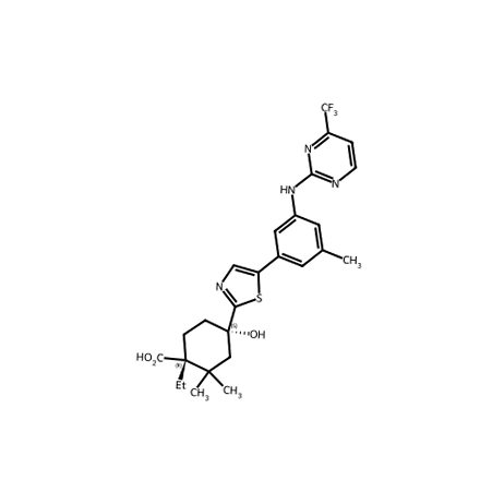 CC[C@@]1(C(=O)O)CC[C@@](O)(c2ncc(-c3cc(C)cc(Nc4nccc(C(F)(F)F)n4)c3)s2)CC1(C)C